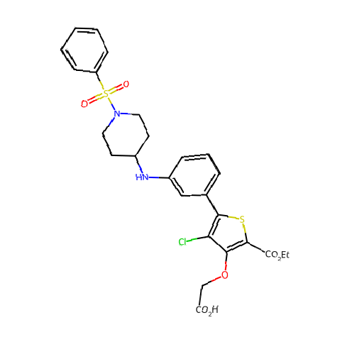 CCOC(=O)c1sc(-c2cccc(NC3CCN(S(=O)(=O)c4ccccc4)CC3)c2)c(Cl)c1OCC(=O)O